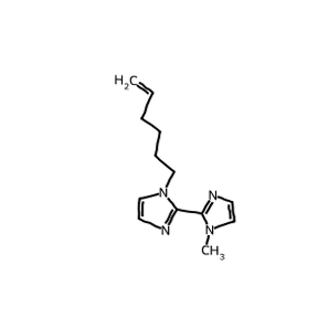 C=CCCCCn1ccnc1-c1nccn1C